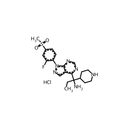 CCC(N)(c1ncnc2c1cnn2-c1ccc(S(C)(=O)=O)cc1F)C1CCNCC1.Cl